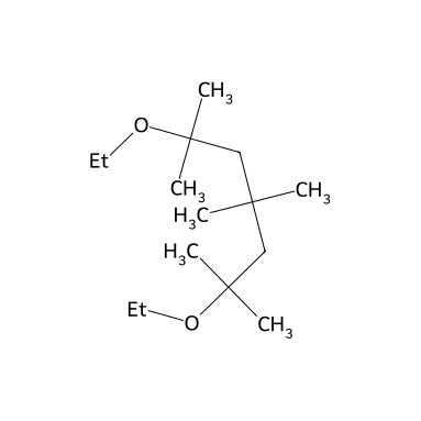 CCOC(C)(C)CC(C)(C)CC(C)(C)OCC